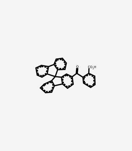 O=C(O)c1ccccc1C(=O)c1ccc2c(c1)C1(c3ccccc3-c3ccccc31)c1ccccc1-2